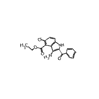 CCOC(=O)c1c(Cl)ccc2[nH]c(C(=O)c3ccccc3)c(N)c12